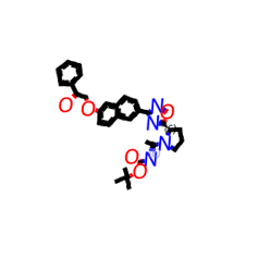 C/C(=N\C(=O)OC(C)(C)C)N1CCC[C@H]1c1nc(-c2ccc3cc(OCC(=O)c4ccccc4)ccc3c2)no1